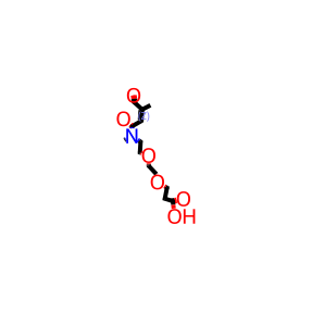 C/C(C=O)=C/C(=O)N(C)CCOCCOCCC(=O)O